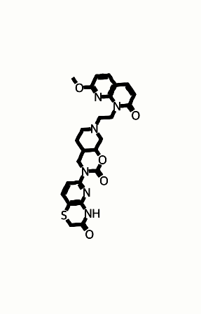 COc1ccc2ccc(=O)n(CCN3CCC4CN(c5ccc6c(n5)NC(=O)CS6)C(=O)OC4C3)c2n1